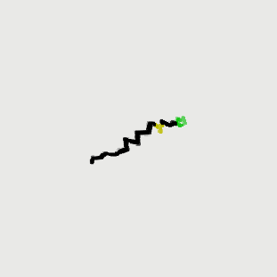 CCCCCCCCCCCCSCCCCl